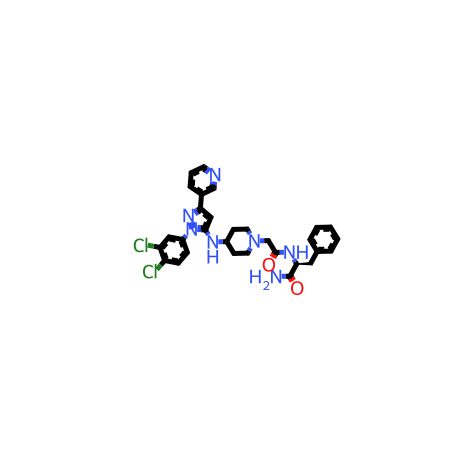 NC(=O)[C@H](Cc1ccccc1)NC(=O)CN1CCC(Nc2cc(-c3cccnc3)nn2-c2ccc(Cl)c(Cl)c2)CC1